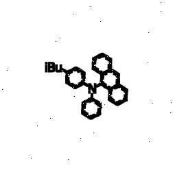 CCC(C)c1ccc(N(c2ccccc2)c2c3ccccc3cc3ccccc23)cc1